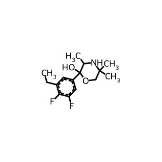 CCc1cc(C2(O)OCC(C)(C)NC2C)cc(F)c1F